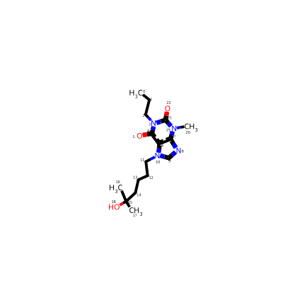 CCCn1c(=O)c2c(ncn2CCCCC(C)(C)O)n(C)c1=O